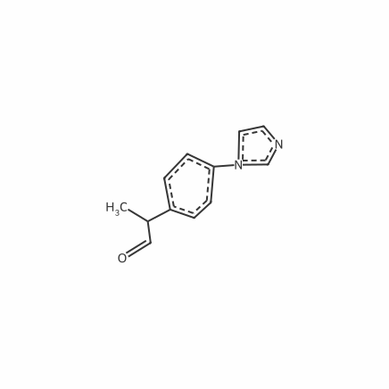 CC(C=O)c1ccc(-n2ccnc2)cc1